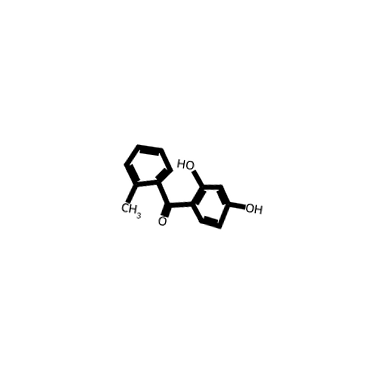 Cc1ccccc1C(=O)c1ccc(O)cc1O